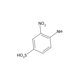 [NH]c1ccc(S(=O)(=O)O)cc1[N+](=O)[O-]